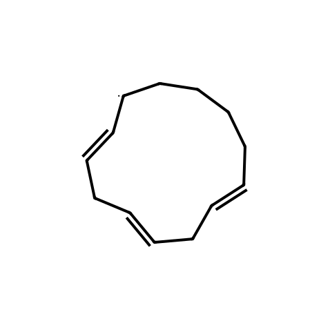 [CH]1/C=C/C/C=C/C/C=C/CCCC1